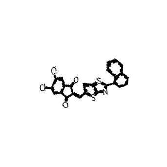 O=C1C(=Cc2cc3sc(-c4cccc5ccccc45)nc3s2)C(=O)c2cc(Cl)c(Cl)cc21